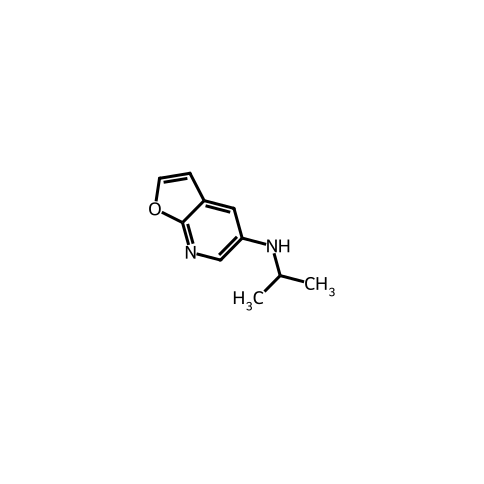 CC(C)Nc1cnc2occc2c1